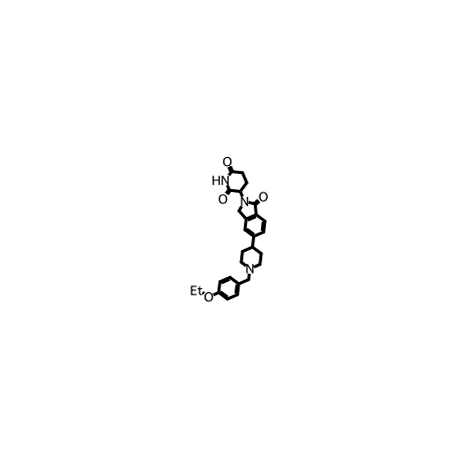 CCOc1ccc(CN2CCC(c3ccc4c(c3)CN(C3CCC(=O)NC3=O)C4=O)CC2)cc1